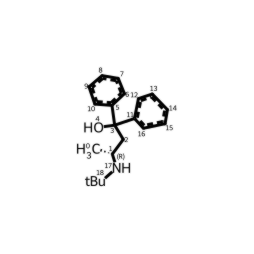 C[C@H](CC(O)(c1ccccc1)c1ccccc1)NC(C)(C)C